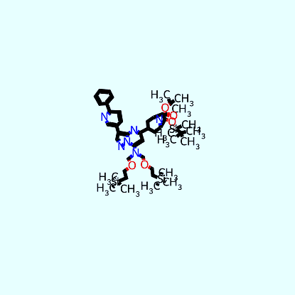 CC(C)(C)OC(=O)N1C2CC(c3cc(N(COCC[Si](C)(C)C)COCC[Si](C)(C)C)n4ncc(-c5ccc(-c6ccccc6)nc5)c4n3)CC1C(O[Si](C)(C)C(C)(C)C)C2